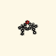 O=C1C(c2ccc(-c3ccccc3)cc2)=C(c2ccc(Oc3ccc(C4=C(c5ccc(-c6ccccc6)cc5)C(=O)C(c5ccccc5)=C4c4ccc(-c5ccccc5)cc4)cc3)cc2)C(c2ccc(-c3ccccc3)cc2)=C1c1ccccc1